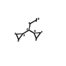 ICC(C1CC1)C1CC1